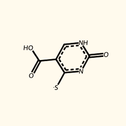 O=C(O)c1c[nH]c(=O)nc1[S]